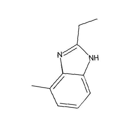 CCc1nc2c(C)cccc2[nH]1